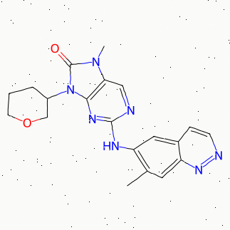 Cc1cc2nnccc2cc1Nc1ncc2c(n1)n(C1CCCOC1)c(=O)n2C